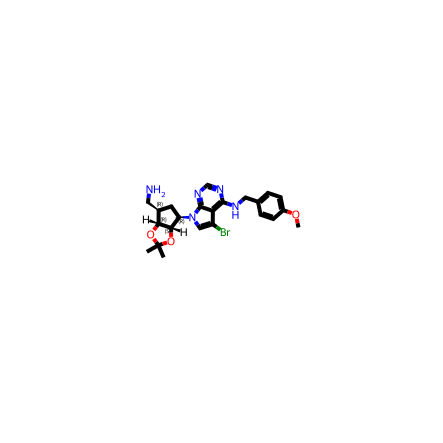 COc1ccc(CNc2ncnc3c2c(Br)cn3[C@@H]2C[C@H](CN)[C@H]3OC(C)(C)O[C@H]32)cc1